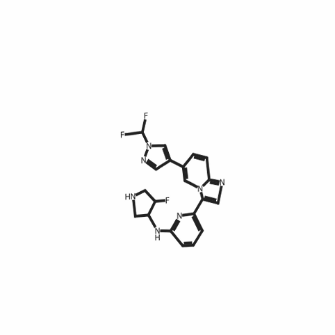 FC1CNCC1Nc1cccc(-c2cnc3ccc(-c4cnn(C(F)F)c4)cn23)n1